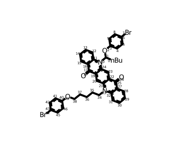 CCCCC(Oc1ccc(Br)cc1)n1c2ccccc2c(=O)c2cc3c(cc21)c(=O)c1ccccc1n3CCCCCOc1ccc(Br)cc1